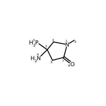 CN1CC(N)(P)CC1=O